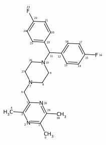 Cc1nc(C)c(CN2CCN(C(c3ccc(F)cc3)c3ccc(F)cc3)CC2)nc1C